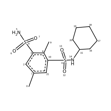 Cc1cc(S(N)(=O)=O)c(C)c(S(=O)(=O)NC2CCCCC2)c1